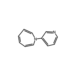 C1=CC=CN(c2cccnc2)C=C1